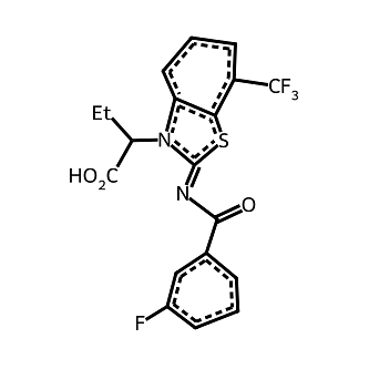 CCC(C(=O)O)n1c(=NC(=O)c2cccc(F)c2)sc2c(C(F)(F)F)cccc21